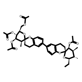 CC[C@H]1O[C@@]2(CCc3cc(-c4ccc5c(c4)CC[C@]4(O5)O[C@H](COC(C)=O)[C@@H](OC(C)=O)[C@H](OC(C)=O)[C@@H]4C)ccc3O2)[C@@H](OC(C)=O)[C@@H](C)[C@@H]1C